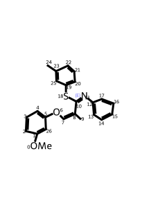 COc1cccc(OC=C(C)/C(=N\c2ccccc2)Sc2cccc(C)c2)c1